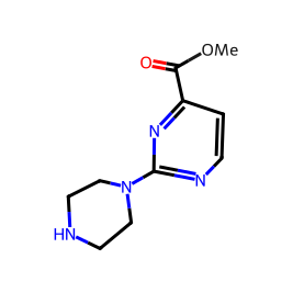 COC(=O)c1ccnc(N2CCNCC2)n1